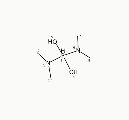 CN(C)[PH](O)(O)N(C)C